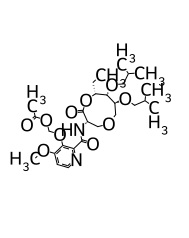 CC[C@H]1OC(=O)[C@@H](NC(=O)c2nccc(OC)c2OCOC(C)=O)COC[C@H](OCC(C)C)[C@H]1OCC(C)C